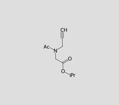 C#CCN(CC(=O)OC(C)C)C(C)=O